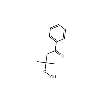 CC(C)(CC(=O)c1ccccc1)OO